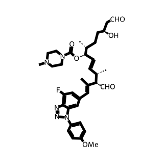 COc1ccc(-n2nnc3c(F)cc(/C=C(\C)[C@@H](C=O)[C@@H](C)/C=C/[C@H](OC(=O)N4CCN(C)CC4)[C@H](C)CC[C@H](O)CC=O)cc32)cc1